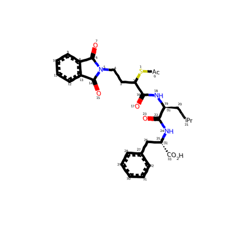 CC(=O)SC(CCN1C(=O)c2ccccc2C1=O)C(=O)N[C@@H](CC(C)C)C(=O)N[C@@H](Cc1ccccc1)C(=O)O